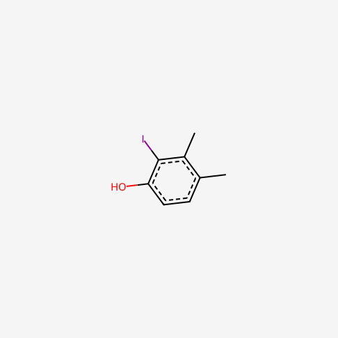 Cc1ccc(O)c(I)c1C